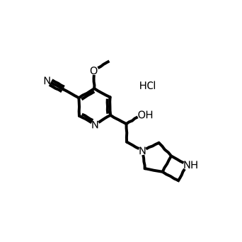 COc1cc(C(O)CN2CC3CNC3C2)ncc1C#N.Cl